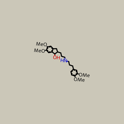 COc1ccc(CCCNCCCC2Cc3cc(OC)c(OC)cc3C2O)cc1OC